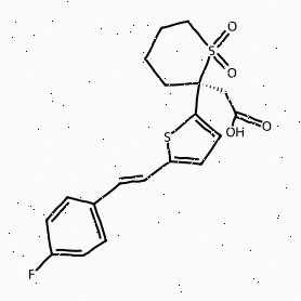 O=C(O)C[C@]1(c2ccc(/C=C/c3ccc(F)cc3)s2)CCCCS1(=O)=O